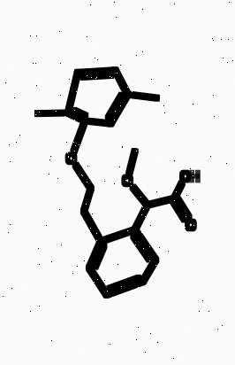 COC(C(=O)O)c1ccccc1CCOc1cc(C)ccc1C